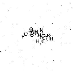 CCc1nc(N2CCC(C(=O)NS(=O)(=O)Cc3ccc(F)cc3)CC2)c(C#N)cc1C(=O)O